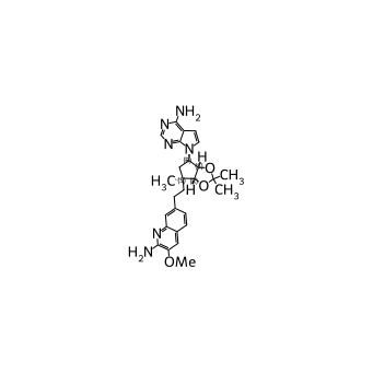 COc1cc2ccc(CC[C@@]3(C)C[C@@H](n4ccc5c(N)ncnc54)[C@@H]4OC(C)(C)O[C@@H]43)cc2nc1N